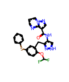 O=C(Nc1c[nH]nc1Cc1cc(Sc2ccccc2)ccc1OC(F)F)c1cnn2cccnc12